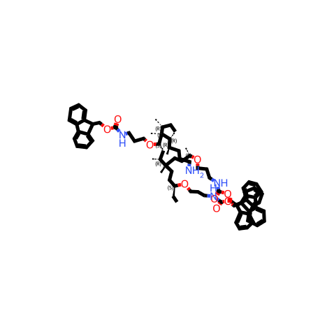 CC[C@@H](CC[C@@](C)(CC[C@H](C)OCCCNC(=O)OCC1c2ccccc2-c2ccccc21)[C@H](C)C[C@H](OCCCNC(=O)OCC1c2ccccc2-c2ccccc21)[C@@]1(C)[C@H](C)CC[C@@H]1[C@H](C)CCCN)OCCCNC(=O)OCC1c2ccccc2-c2ccccc21